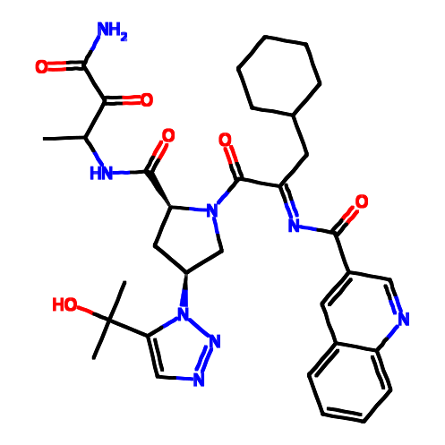 CC(NC(=O)[C@@H]1C[C@H](n2nncc2C(C)(C)O)CN1C(=O)/C(CC1CCCCC1)=N/C(=O)c1cnc2ccccc2c1)C(=O)C(N)=O